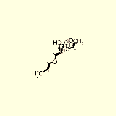 C=CC.CC=COC=CC.O=C(O)O